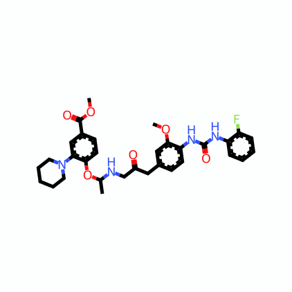 COC(=O)c1ccc(OC(C)NCC(=O)Cc2ccc(NC(=O)Nc3ccccc3F)c(OC)c2)c(N2CCCCC2)c1